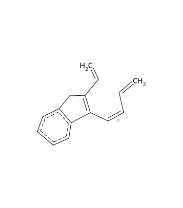 C=C/C=C\C1=C(C=C)Cc2ccccc21